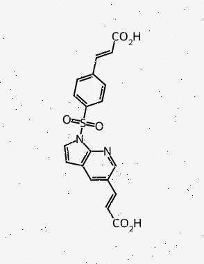 O=C(O)C=Cc1ccc(S(=O)(=O)n2ccc3cc(C=CC(=O)O)cnc32)cc1